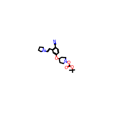 CC(C)(C)OC(=O)ON1CCC(Oc2ccc(C#N)c(/C=C/N3CCCC3)c2)CC1